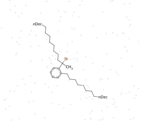 CCCCCCCCCCCCCCCCCCc1ccccc1C(C)(Br)CCCCCCCCCCCCCCCCCC